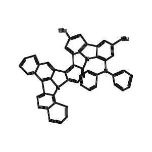 CC(C)(C)c1cc(N(c2ccccc2)c2ccccc2)c2c(c1)c1cc(C(C)(C)C)cc3c4c5c6cc7ccccc7c7c8ccc9ccccc9c8n(c5cnc4n2c13)c67